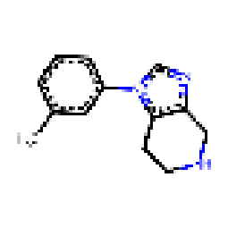 Cc1cccc(-n2cnc3c2CCNC3)c1